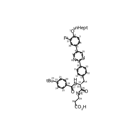 CCCCCCCOc1ccc(-c2cnc(-c3ccc(C[C@H](NC(=O)c4ccc(C(C)(C)C)cc4)C(=O)NCCC(=O)O)cc3)nc2)cc1F